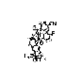 N#Cc1ccc(C(=O)NC[C@@H]2CCc3cc(C(O)(C(F)(F)F)C(F)(F)F)ccc3N2S(=O)(=O)c2ccc(F)cc2)cn1